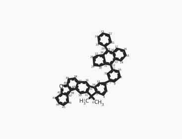 CC1(C)c2ccc(-c3cccc(-c4c5ccccc5c(-c5ccccc5)c5ccccc45)c3)cc2-c2cc3ccc4oc5ccccc5c4c3cc21